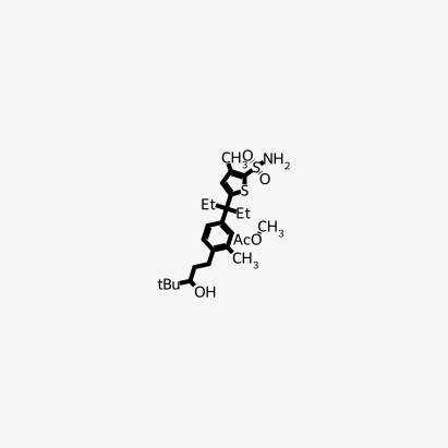 CCC(CC)(c1ccc(CCC(O)C(C)(C)C)c(C)c1)c1cc(C)c(S(N)(=O)=O)s1.COC(C)=O